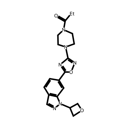 CCC(=O)N1CCN(c2noc(-c3ccc4cnn(C5COC5)c4c3)n2)CC1